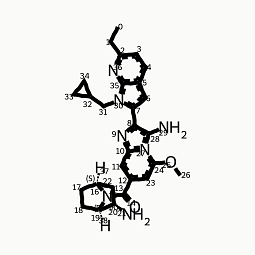 CCc1ccc2cc(-c3nc4cc(C(=O)N5[C@H]6CC[C@@H]5[C@H](N)C6)cc(OC)n4c3N)n(CC3CC3)c2n1